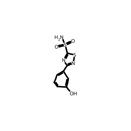 NS(=O)(=O)c1nc(-c2cccc(O)c2)ns1